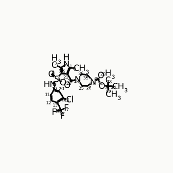 Cc1[nH]c(C)c(S(=O)(=O)Nc2ccc(C(F)(F)F)c(Cl)c2)c1C(=O)N1CCN(C(=O)OC(C)(C)C)CC1